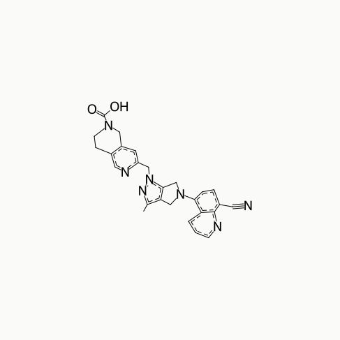 Cc1nn(Cc2cc3c(cn2)CCN(C(=O)O)C3)c2c1CN(c1ccc(C#N)c3ncccc13)C2